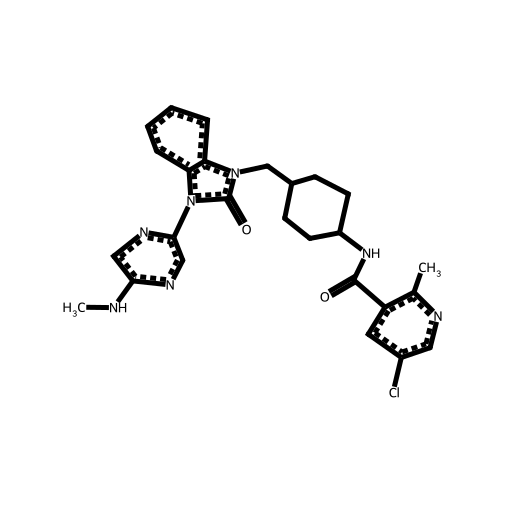 CNc1cnc(-n2c(=O)n(CC3CCC(NC(=O)c4cc(Cl)cnc4C)CC3)c3ccccc32)cn1